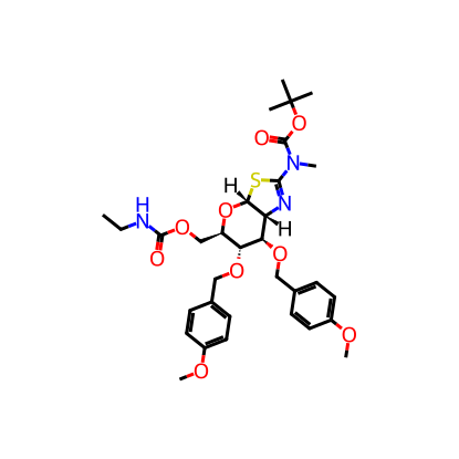 CCNC(=O)OC[C@H]1O[C@@H]2SC(N(C)C(=O)OC(C)(C)C)=N[C@@H]2[C@@H](OCc2ccc(OC)cc2)[C@@H]1OCc1ccc(OC)cc1